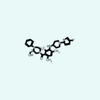 Cc1cc(C)c(C(=O)N2CCN(c3ccccc3)[C@H](CO)C2)c(C)c1NC1CCN(c2ccc(F)cn2)CC1